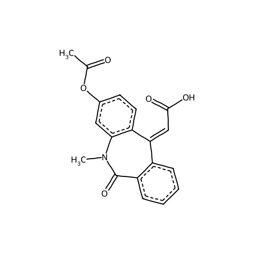 CC(=O)Oc1ccc2c(c1)N(C)C(=O)c1ccccc1/C2=C/C(=O)O